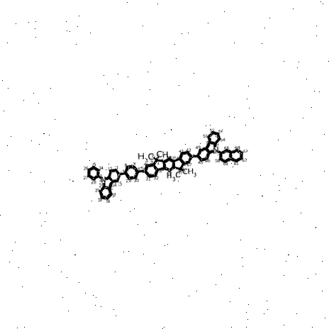 CC1(C)c2cc(-c3ccc(-c4ccc5c(c4)c4ccccc4n5-c4ccccc4)cc3)ccc2-c2cc3c(cc21)-c1ccc(-c2ccc4c(c2)c2ccccc2n4-c2ccc4ccccc4c2)cc1C3(C)C